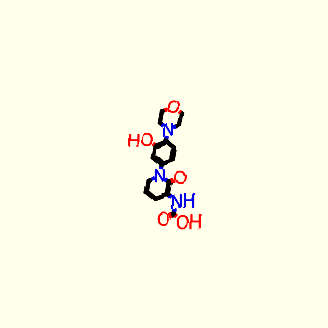 O=C(O)NC1CCCN(c2ccc(N3CCOCC3)c(O)c2)C1=O